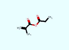 C=C(C)C(=O)OC(=O)CC